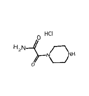 Cl.NC(=O)C(=O)N1CCNCC1